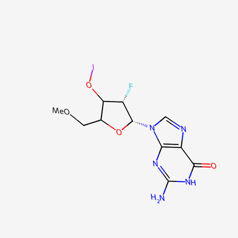 COCC1O[C@@H](n2cnc3c(=O)[nH]c(N)nc32)[C@@H](F)C1OI